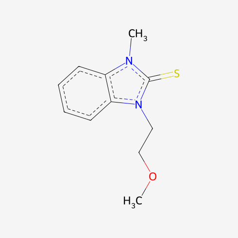 COCCn1c(=S)n(C)c2ccccc21